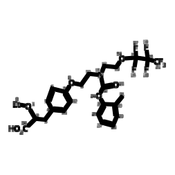 CCOC(Cc1ccc(OCCN(CCOC(F)(F)C(F)(F)C(F)(F)F)C(=O)Oc2ccccc2C)cc1)C(=O)O